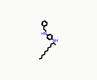 CCCCCCCCCC(C)Nc1ccc(NCCc2ccccc2)cc1